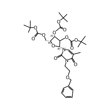 Cc1cn([C@@H]2O[C@H](COC(=O)OC(C)(C)C)[C@H](OC(=O)OC(C)(C)C)C2OC(=O)OC(C)(C)C)c(=O)n(CCOCc2ccccc2)c1=O